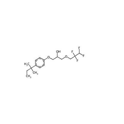 CCC(C)(C)c1ccc(OCC(O)COCC(F)(F)C(F)F)cc1